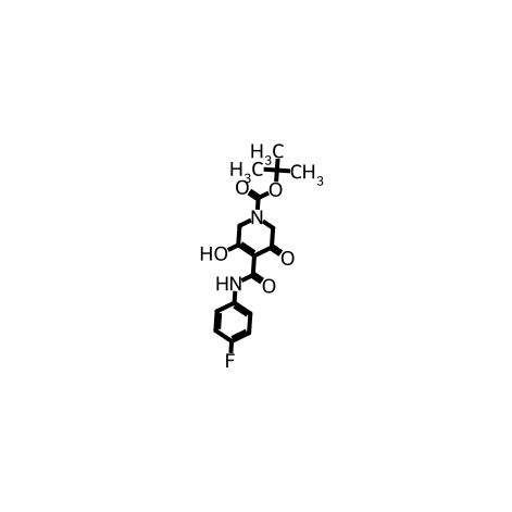 CC(C)(C)OC(=O)N1CC(=O)C(C(=O)Nc2ccc(F)cc2)=C(O)C1